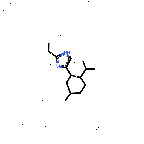 CCc1nc(C2CC(C)CCC2C(C)C)c[nH]1